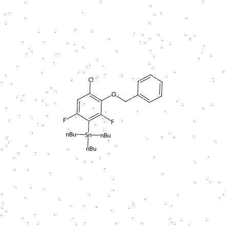 CCC[CH2][Sn]([CH2]CCC)([CH2]CCC)[c]1c(F)cc(Cl)c(OCc2ccccc2)c1F